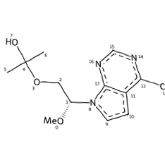 CO[C@H](COC(C)(C)O)n1ccc2c(Cl)ncnc21